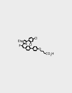 CCn1cc(-c2ccc(Cl)cc2Cl)nc1/C(F)=C\c1ccc(-c2ccc(OCCCC(=O)O)cc2)cc1